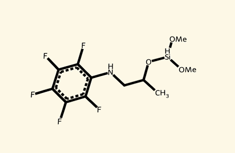 CO[SiH](OC)OC(C)CNc1c(F)c(F)c(F)c(F)c1F